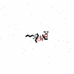 CCCC[Si](C)(C)C(CC)(CC)O[Si](C)(C)C(C)(CC)O[SiH](C)C